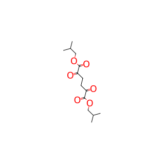 CC(C)COC(=O)C(=O)CCC(=O)C(=O)OCC(C)C